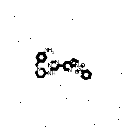 Nc1ccc(CN2CCCC(Nc3cc(-c4cnc5c(ccn5S(=O)(=O)c5ccccc5)c4)ncn3)C2)cc1